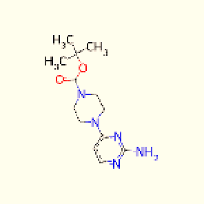 CC(C)(C)OC(=O)N1CCN(c2ccnc(N)n2)CC1